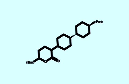 CCCCCCC1CCC(C2CCC([C@H]3CC[C@H](CCCCC)CC3)CC2)C(=O)O1